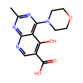 Cc1nc(N2CCOCC2)c2c(O)c(C(=O)O)cnc2n1